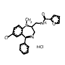 CN1c2ccc(Cl)cc2C(c2ccccc2)=NCC1CNC(=O)c1ccco1.Cl